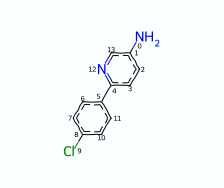 Nc1ccc(-c2ccc(Cl)cc2)nc1